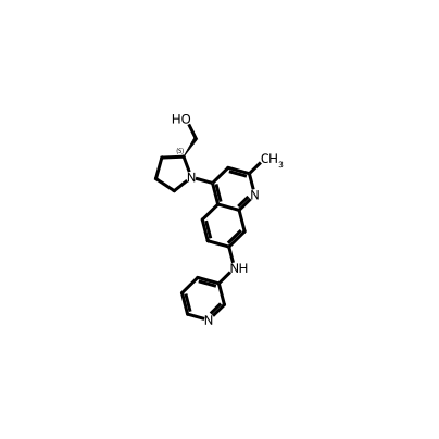 Cc1cc(N2CCC[C@H]2CO)c2ccc(Nc3cccnc3)cc2n1